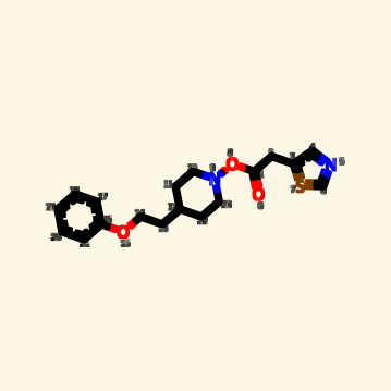 O=C(Cc1cncs1)ON1CCC(CCOc2ccccc2)CC1